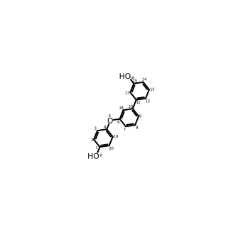 Oc1ccc(Oc2cccc(-c3cccc(O)c3)c2)cc1